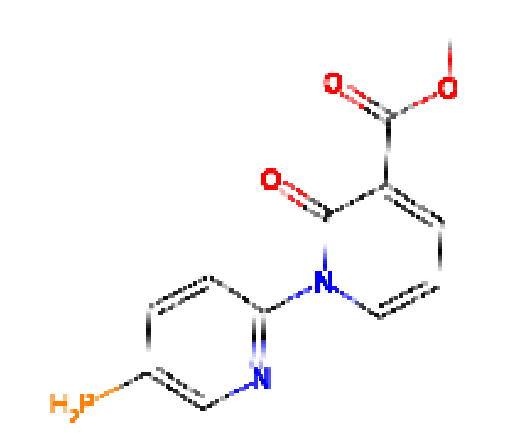 COC(=O)c1cccn(-c2ccc(P)cn2)c1=O